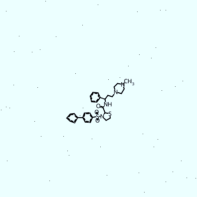 CN1CCN(CCC(NC(=O)C2SCCN2S(=O)(=O)c2ccc(-c3ccccc3)cc2)c2ccccc2)CC1